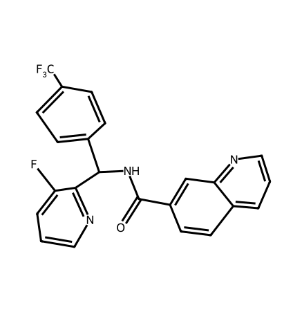 O=C(NC(c1ccc(C(F)(F)F)cc1)c1ncccc1F)c1ccc2cccnc2c1